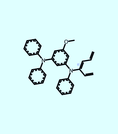 C=C/C=C(\C=C)N(c1ccccc1)c1cc(OC)cc(N(c2ccccc2)c2ccccc2)c1